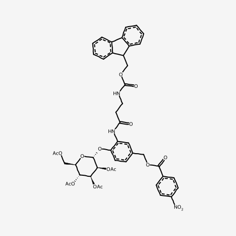 CC(=O)OC[C@H]1O[C@H](Oc2ccc(COC(=O)c3ccc([N+](=O)[O-])cc3)cc2NC(=O)CCNC(=O)OCC2c3ccccc3-c3ccccc32)[C@@H](OC(C)=O)[C@@H](OC(C)=O)[C@@H]1OC(C)=O